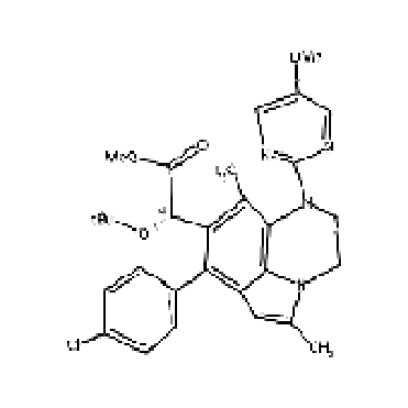 COC(=O)[C@@H](OC(C)(C)C)c1c(C)c2c3c(cc(C)n3CCN2c2ncc(OC)cn2)c1-c1ccc(Cl)cc1